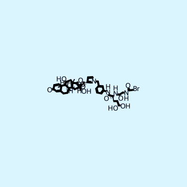 C[C@]12C=CC(=O)C=C1CC[C@@H]1[C@@H]2[C@@H](O)C[C@@]2(C)[C@H]1C[C@H]1O[C@@H](c3ccn(Cc4cccc(NC(=O)[C@H](CCC(O)O)NC(=O)CNC(=O)CBr)c4)c3)O[C@]12C(=O)CO